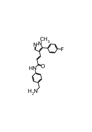 Cn1ncc(C=CC(=O)Nc2ccc(CN)cc2)c1-c1ccc(F)cc1